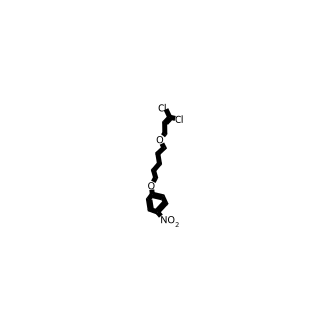 O=[N+]([O-])c1ccc(OCCCCCOCC=C(Cl)Cl)cc1